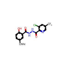 COc1ccc(O)c(C(=O)NNC(=O)c2ncc(C(F)(F)F)cc2Cl)c1